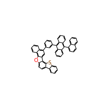 c1cc(-c2c3ccccc3c(-c3cccc4ccccc34)c3ccccc23)cc(-c2cc3c(oc4ccc5c6ccccc6sc5c43)c3ccccc23)c1